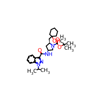 CC(C)n1nc(C(=O)N[C@H]2C[C@@H](CC3(O)CCCCC3)N(C(=O)OC(C)(C)C)C2)c2ccccc21